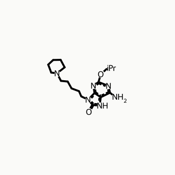 CC(C)Oc1nc(N)c2[nH]c(=O)n(CCCCCN3CCCCC3)c2n1